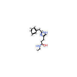 CCNC(O)CCc1c[nH]c(Cc2ccccc2)n1